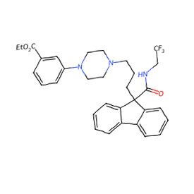 CCOC(=O)c1cccc(N2CCN(CCCC3(C(=O)NCC(F)(F)F)c4ccccc4-c4ccccc43)CC2)c1